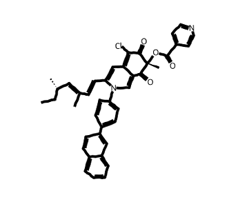 CC[C@H](C)/C=C(C)/C=C/C1=CC2=C(Cl)C(=O)[C@](C)(OC(=O)c3ccncc3)C(=O)C2=CN1c1ccc(-c2ccc3ccccc3c2)cc1